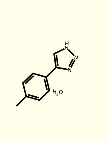 Cc1ccc(-c2c[nH]nn2)cc1.O